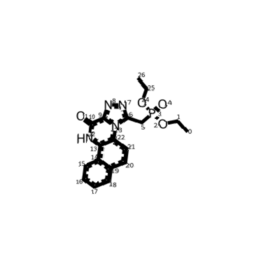 CCOP(=O)(Cc1nnc2c(=O)[nH]c3c4ccccc4ccc3n12)OCC